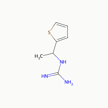 CC(NC(=N)N)c1cccs1